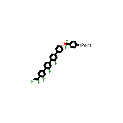 CCCCCc1ccc(C(F)(F)Oc2ccc(-c3ccc(-c4ccc(-c5ccc(/C(F)=C/F)c(F)c5)c(F)c4)c(F)c3)cc2)cc1